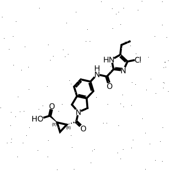 CCc1[nH]c(C(=O)Nc2ccc3c(c2)CN(C(=O)[C@@H]2C[C@H]2C(=O)O)C3)nc1Cl